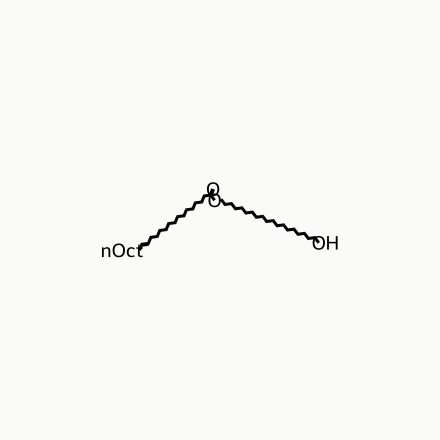 CCCCCCCCC=CCCCCCCCCCCCCCC(=O)OCCCCCCCCCCCCCCCCCCCO